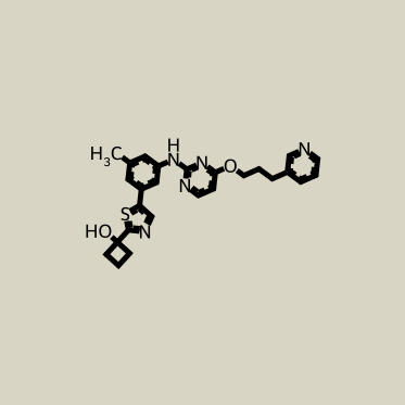 Cc1cc(Nc2nccc(OCCCc3cccnc3)n2)cc(-c2cnc(C3(O)CCC3)s2)c1